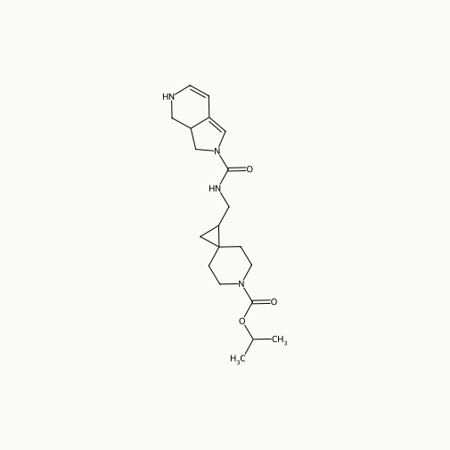 CC(C)OC(=O)N1CCC2(CC1)CC2CNC(=O)N1C=C2C=CNCC2C1